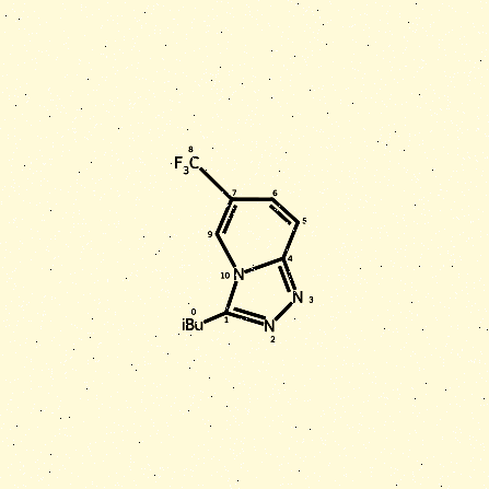 CCC(C)c1nnc2ccc(C(F)(F)F)cn12